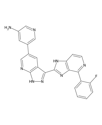 Nc1cncc(-c2cnc3[nH]nc(-c4nc5c(-c6ccccc6F)nccc5[nH]4)c3c2)c1